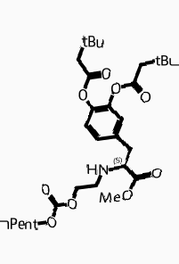 CCCCCOC(=O)OCCN[C@@H](Cc1ccc(OC(=O)CC(C)(C)C)c(OC(=O)CC(C)(C)C)c1)C(=O)OC